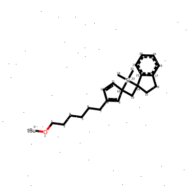 CC(C)(C)OCCCCCCC1=CC2(C=C1)CC1(CCc3ccccc31)[Si]2(C)C